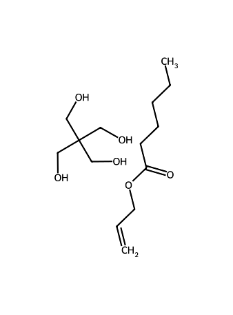 C=CCOC(=O)CCCCC.OCC(CO)(CO)CO